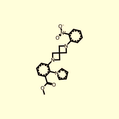 COC(=O)c1cccc(N2CC3(CN(c4ccccc4[N+](=O)[O-])C3)C2)c1-n1cccc1